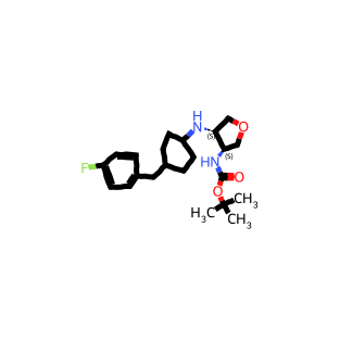 CC(C)(C)OC(=O)N[C@@H]1COC[C@H]1NC1CCC(Cc2ccc(F)cc2)CC1